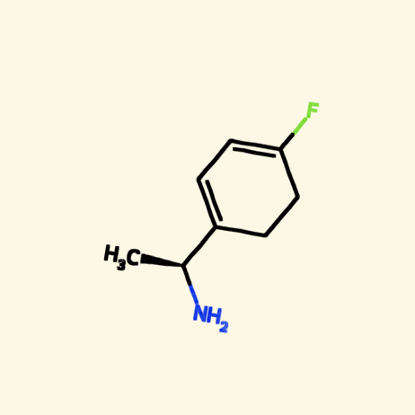 C[C@H](N)C1=CC=C(F)CC1